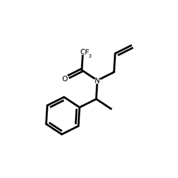 C=CCN(C(=O)C(F)(F)F)C(C)c1ccccc1